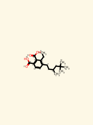 CCc1c(CCC(C)CC(C)(C)C)ccc(C(=O)O)c1C(=O)O